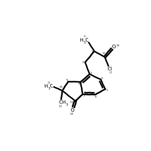 CC(Cc1cccc2c1CC(C)(C)C2=O)C(=O)Cl